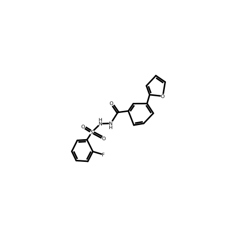 O=C(NNS(=O)(=O)c1ccccc1F)c1cccc(-c2ccco2)c1